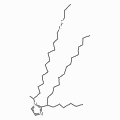 CCCCCCCCCCCCCCCCCC(C)n1ccnc1C(CCCCCC)CCCCCCCCCCCCCC